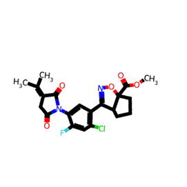 COC(=O)C12CCCC1C(c1cc(N3C(=O)CC(=C(C)C)C3=O)c(F)cc1Cl)=NO2